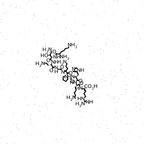 N=C(N)NCC/C=C(\NC(=O)[C@H](CCCCN)NC(=O)[C@H](Cc1cnc[nH]1)NC(=O)[C@@H]1CCCN1C(=O)/C(CCCN)=N/C(=O)CNC(=O)[C@H](CCN)NC(=O)[C@@H](NC(=O)[C@@H](N)CCCCN)[C@@H](O)CN)C(=O)O